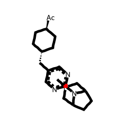 CC(=O)[C@H]1CC[C@H](Cc2cnc(N3C4CCC3CN(C)C4)nc2)CC1